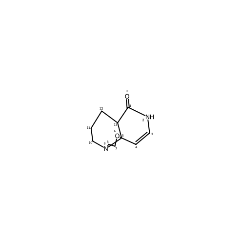 O=C1NC=CC23OCCN2CCCC13